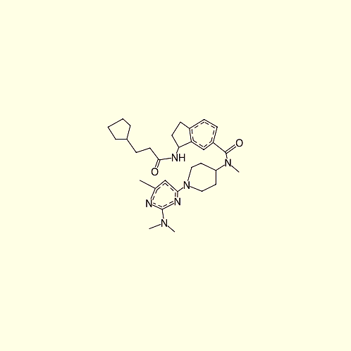 Cc1cc(N2CCC(N(C)C(=O)c3ccc4c(c3)C(NC(=O)CCC3CCCC3)CC4)CC2)nc(N(C)C)n1